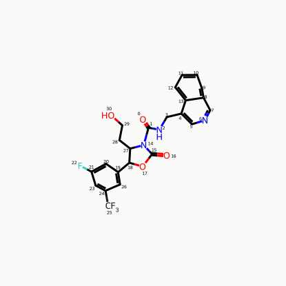 O=C(NCc1cncc2ccccc12)N1C(=O)OC(c2cc(F)cc(C(F)(F)F)c2)C1CCO